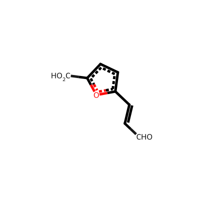 O=CC=Cc1ccc(C(=O)O)o1